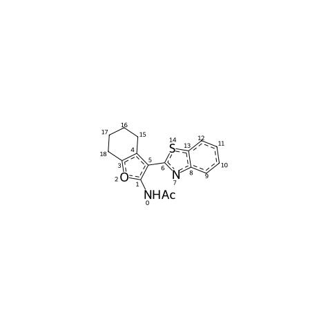 CC(=O)Nc1oc2c(c1-c1nc3ccccc3s1)CCCC2